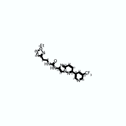 CCn1nnc(CCNC(=O)Nc2cn3nc(-c4cncc(C(F)(F)F)c4)ccc3n2)n1